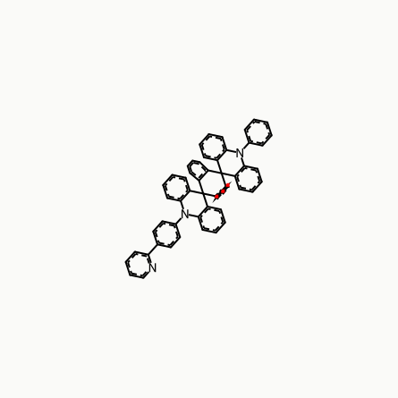 c1ccc(N2c3ccccc3C3(c4ccccc42)c2ccccc2C2(c4ccccc4N(c4ccc(-c5ccccn5)cc4)c4ccccc42)c2ccccc23)cc1